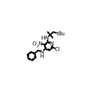 CC(C)(C)CC(C)(C)Nc1nc(Cl)cc(NCc2ccccc2)c1[N+](=O)[O-]